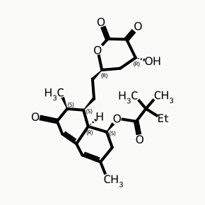 CCC(C)(C)C(=O)O[C@H]1CC(C)=CC2=CC(=O)[C@@H](C)[C@@H](CC[C@@H]3C[C@@H](O)C(=O)C(=O)O3)[C@H]21